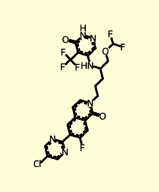 O=c1[nH]ncc(NC(CCCn2ccc3cc(-c4ncc(Cl)cn4)c(F)cc3c2=O)COC(F)F)c1C(F)(F)F